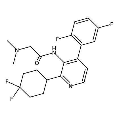 CN(C)CC(=O)Nc1c(-c2cc(F)ccc2F)ccnc1C1CCC(F)(F)CC1